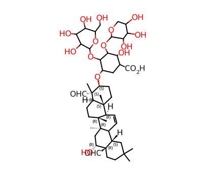 CC1(C)CC[C@]2(C=O)[C@H](O)C[C@]3(C)C(C=C[C@@H]4[C@@]5(C)CC[C@H](OC6CC(C(=O)O)C(O)C(OC7OCC(O)C(O)C7O)C6OC6OC(CO)C(O)C(O)C6O)[C@@](C)(C=O)[C@@H]5CC[C@]43C)[C@@H]2C1